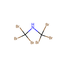 BrC(Br)(Br)NC(Br)(Br)Br